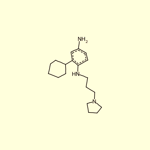 Nc1ccc(NCCCN2CCCC2)c(C2CCCCC2)c1